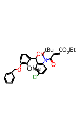 CCOC(=O)C=CC(=O)N(CC(C)(C)C)c1ccc(Cl)cc1C(O)c1cccc(OCc2ccccc2)c1OC